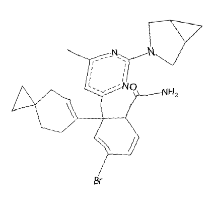 Cc1cc(C2(C3=CCC4(CC3)CC4)C=C(Br)C=CC2C(N)=O)nc(N2CC3CC3C2)n1